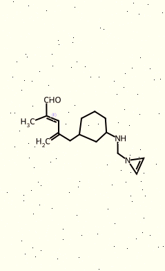 C=C(/C=C(\C)C=O)CC1CCCC(NCN2C=C2)C1